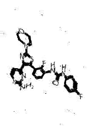 Nc1nccc(-c2nc(N3CCOCC3)sc2-c2cccc(NC(=O)Nc3ccc(F)cc3)c2F)n1